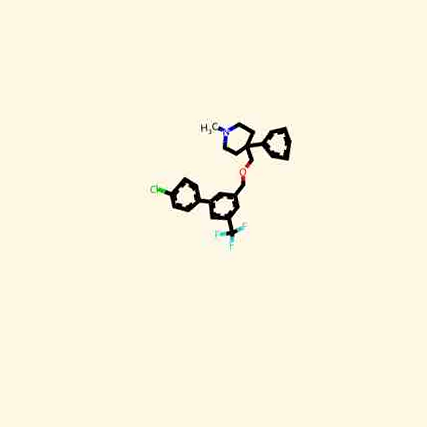 CN1CCC(COCc2cc(-c3ccc(Cl)cc3)cc(C(F)(F)F)c2)(c2ccccc2)CC1